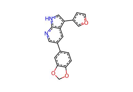 c1cc(-c2c[nH]c3ncc(-c4ccc5c(c4)OCO5)cc23)co1